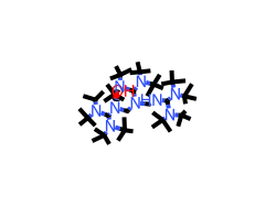 CC(C)N(C(N(CO)CN(CNC(N(C(C)(C)C)C(C)(C)C)N(C(C)(C)C)C(C)(C)C)C(N(C(C)(C)C)C(C)(C)C)N(C(C)(C)C)C(C)(C)C)N(C(C)(C)C)C(C)(C)C)C(C)(C)C